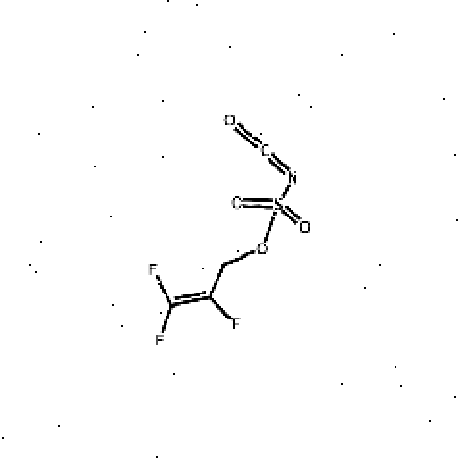 O=C=NS(=O)(=O)OCC(F)=C(F)F